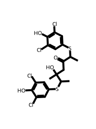 CC(Sc1cc(Cl)c(O)c(Cl)c1)C(=O)CC(C)(O)C(C)Sc1cc(Cl)c(O)c(Cl)c1